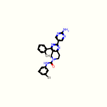 CCc1cccc(NC(=O)N2CCc3nc(-c4cnc(N)nc4)nc(-c4ccccc4C)c3C2)c1